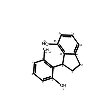 Cc1cccc(O)c1C1CCc2cccc(O)c21